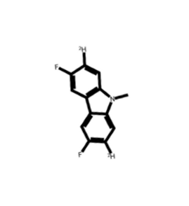 [2H]c1cc2c(cc1F)c1cc(F)c([2H])cc1n2C